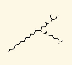 CCCCCCCCCCCCC(CCC(=O)OC(CO)CO)OC(=O)NCCCN(C)C